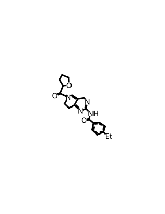 CCc1ccc(C(=O)NC2=NCC3=CN(C(=O)C4CCCO4)CCC3=N2)cc1